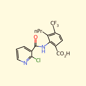 CCCc1c(C(F)(F)F)ccc(C(=O)O)c1NC(=O)c1cccnc1Cl